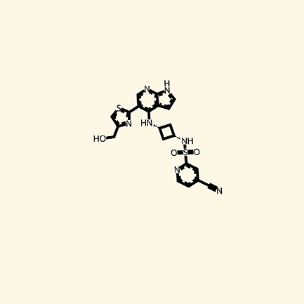 N#Cc1ccnc(S(=O)(=O)N[C@H]2C[C@@H](Nc3c(-c4nc(CO)cs4)cnc4[nH]ccc34)C2)c1